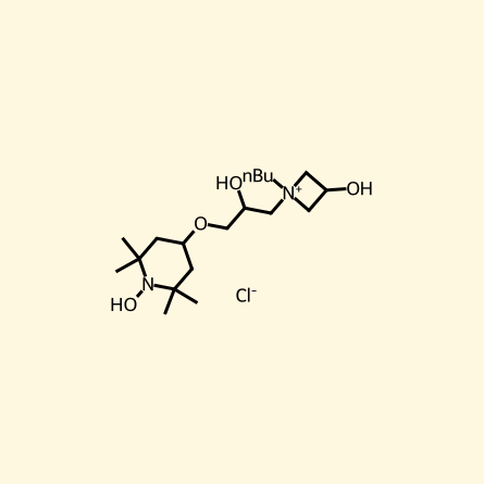 CCCC[N+]1(CC(O)COC2CC(C)(C)N(O)C(C)(C)C2)CC(O)C1.[Cl-]